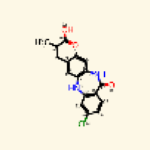 CC(Cc1ccc2c(c1)Nc1cc(Cl)ccc1C(=O)N2)C(=O)O